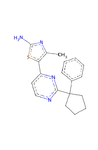 Cc1nc(N)sc1-c1ccnc(C2(c3ccccc3)CCCC2)n1